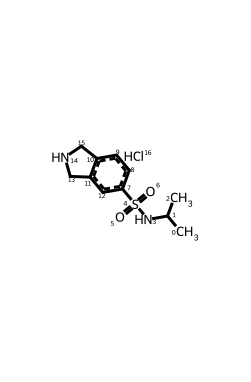 CC(C)NS(=O)(=O)c1ccc2c(c1)CNC2.Cl